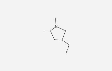 CC1CC(CF)CN1C